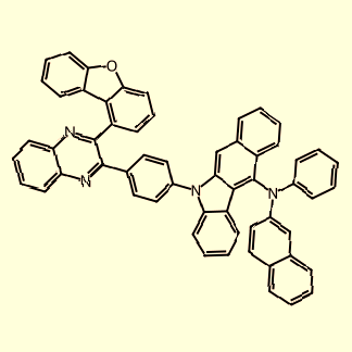 c1ccc(N(c2ccc3ccccc3c2)c2c3ccccc3cc3c2c2ccccc2n3-c2ccc(-c3nc4ccccc4nc3-c3cccc4oc5ccccc5c34)cc2)cc1